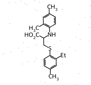 CCc1cc(C)ccc1SCC(Nc1ccc(C)cc1C)C(=O)O